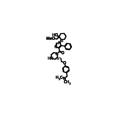 COC[C@]1(O)CCCC[C@H]1n1cnc(C(=O)N2CCNC[C@H]2CCOc2ccc(CN(C)C)cc2)c1-c1ccccc1